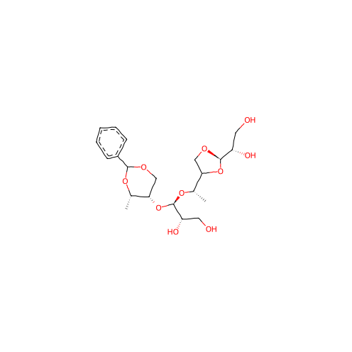 C[C@H](O[C@H](O[C@H]1COC(c2ccccc2)O[C@H]1C)[C@@H](O)CO)C1CO[C@@H]([C@@H](O)CO)O1